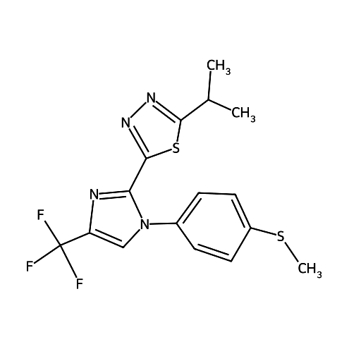 CSc1ccc(-n2cc(C(F)(F)F)nc2-c2nnc(C(C)C)s2)cc1